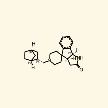 O=C1C[C@@H]2[C@H](N1)c1ccccc1C21CCN(C[C@H]2C[C@@H]3CC[C@@H]2C3)CC1